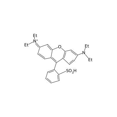 CCN(CC)c1ccc2c(-c3ccccc3S(=O)(=O)O)c3ccc(=[N+](CC)CC)cc-3oc2c1